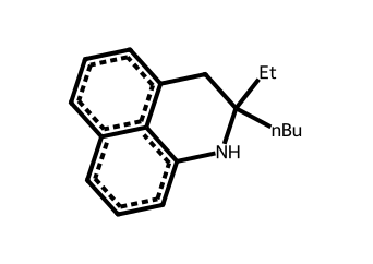 CCCCC1(CC)Cc2cccc3cccc(c23)N1